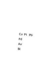 [Au].[Bi].[Cu].[Pb].[Pd].[Pt]